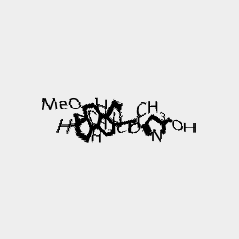 COC1C[C@H]2[C@@H]3CC[C@H]([C@H](C)Oc4cncc(CO)c4)[C@@]3(C)CC[C@@H]2[C@@]2(C)CC[C@@H]3C[C@]132